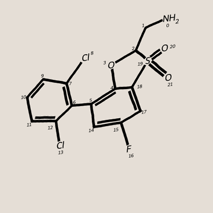 NCC1Oc2c(-c3c(Cl)cccc3Cl)cc(F)cc2S1(=O)=O